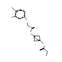 O=C(CBr)NC12CC(NC(=O)COc3ccc(Cl)c(F)c3)(C1)C2